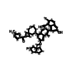 C#Cc1c(F)ccc2cc(O)cc(-c3ncc4c(N5CCOCC6(CN(C(=O)n7cnc(C)n7)C6)C5)nc(OC[C@@]56CCCN5C[C@H](F)C6)nc4c3F)c12